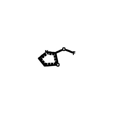 FOc1ncco1